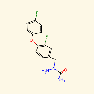 NC(=O)N(N)Cc1ccc(Oc2ccc(F)cc2)c(F)c1